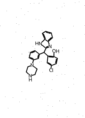 Oc1ccc(Cl)cc1C(c1c[c]cc(N2CCNCC2)c1)c1nc2ccccc2[nH]1